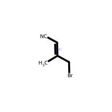 C/C(=C\C#N)CBr